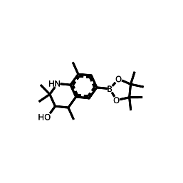 Cc1cc(B2OC(C)(C)C(C)(C)O2)cc2c1NC(C)(C)C(O)C2C